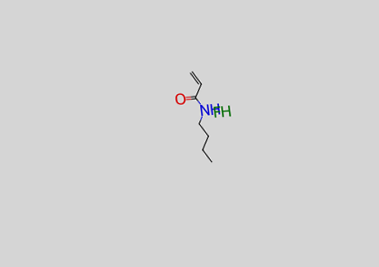 C=CC(=O)NCCCC.F